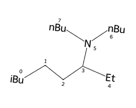 C[CH]C(C)CCC(CC)N(CCCC)CCCC